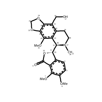 COc1ccc2c(c1OC)C(=O)O[C@@H]2[C@H]1c2c(c(CO)c3c(c2OC)OCO3)CCN1C